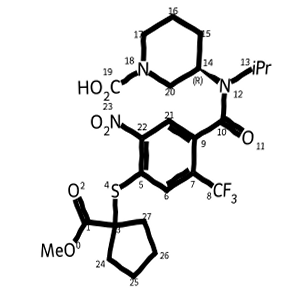 COC(=O)C1(Sc2cc(C(F)(F)F)c(C(=O)N(C(C)C)[C@@H]3CCCN(C(=O)O)C3)cc2[N+](=O)[O-])CCCC1